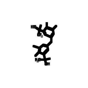 Cc1cc(Cc2cc(C)c(C)c(C(C)(O)C(F)(F)F)c2)cc(C(C)(O)C(F)(F)F)c1C